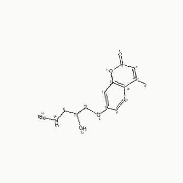 Cc1cc(=O)oc2cc(OCC(O)CNC(C)(C)C)ccc12